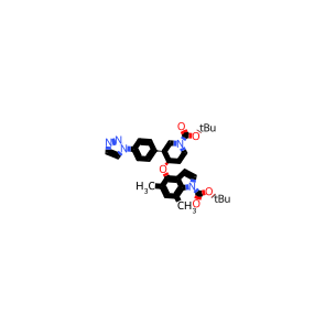 Cc1cc(C)c2c(ccn2C(=O)OC(C)(C)C)c1O[C@@H]1CCN(C(=O)OC(C)(C)C)C[C@H]1c1ccc(-n2ccnn2)cc1